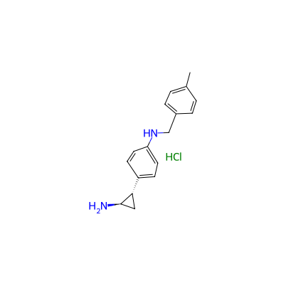 Cc1ccc(CNc2ccc([C@@H]3C[C@H]3N)cc2)cc1.Cl